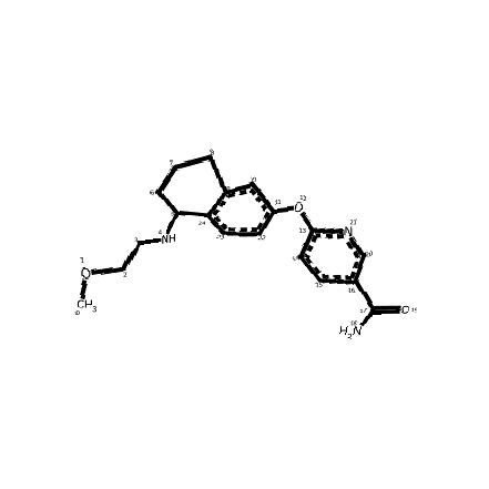 COCCNC1CCCc2cc(Oc3ccc(C(N)=O)cn3)ccc21